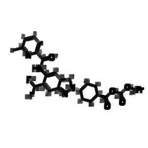 Cc1cccc(C(=O)Nc2cc3cn([C@H]4CC[C@H](C(=O)OC(=O)OC(C)C)CC4)nc3cc2C(F)F)n1